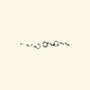 C=CCCCc1ccc(CCc2ccc(-c3ccc(COCC=CCC)cc3)cc2)cc1